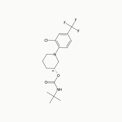 CC(C)(C)NC(=O)O[C@@H]1CCCN(c2ccc(C(F)(F)F)cc2Cl)C1